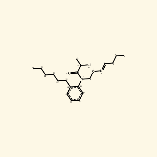 CCCC=NOCN(C(=O)C(C)Cl)c1ccccc1CCCCCC